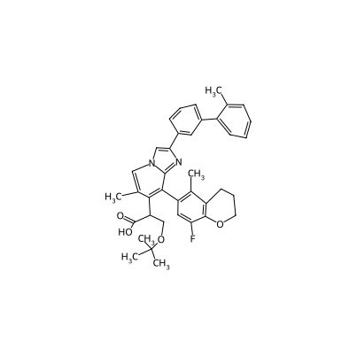 Cc1ccccc1-c1cccc(-c2cn3cc(C)c(C(COC(C)(C)C)C(=O)O)c(-c4cc(F)c5c(c4C)CCCO5)c3n2)c1